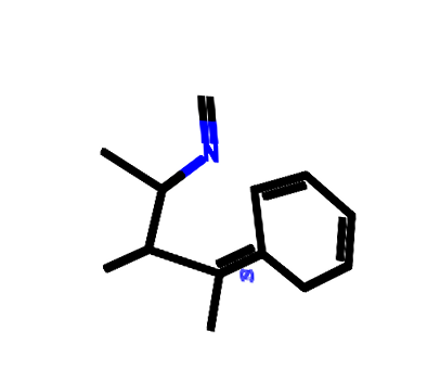 C=NC(C)C(C)/C(C)=C1\C=CC=CC1